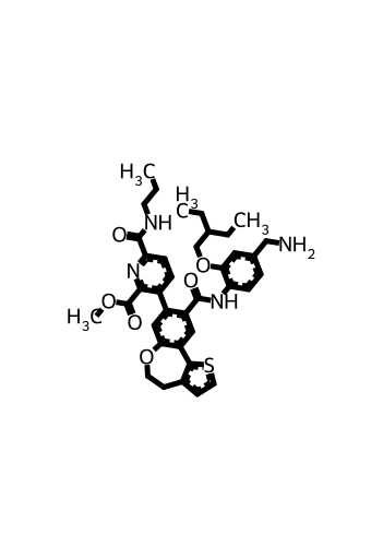 CCCNC(=O)c1ccc(-c2cc3c(cc2C(=O)Nc2ccc(CN)cc2OCC(CC)CC)-c2sccc2CCO3)c(C(=O)OC)n1